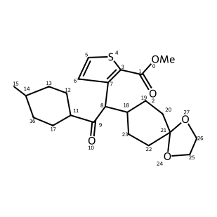 COC(=O)c1sccc1C(C(=O)C1CCC(C)CC1)C1CCC2(CC1)OCCO2